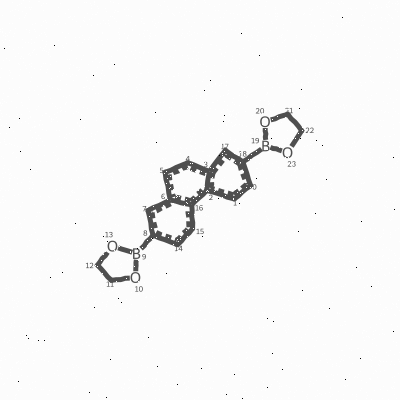 c1cc2c(ccc3cc(B4OCCO4)ccc32)cc1B1OCCO1